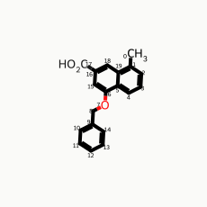 Cc1cccc2c(OCc3ccccc3)cc(C(=O)O)cc12